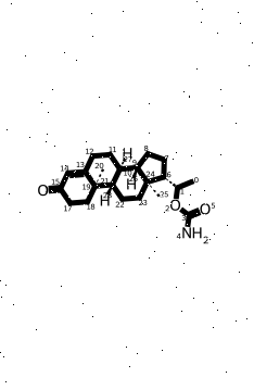 CC(OC(N)=O)[C@H]1CC[C@H]2[C@@H]3CCC4=CC(=O)CC[C@]4(C)[C@H]3CC[C@]12C